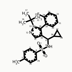 Cc1ccc(S(=O)(=O)NC(c2cnn(C(C)(C)C)c2-c2ccccc2F)C2CC2)cc1